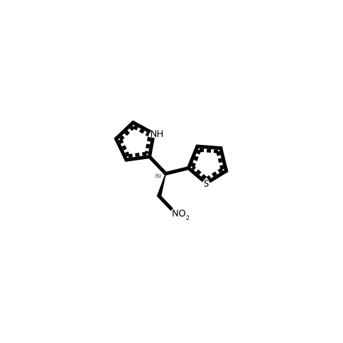 O=[N+]([O-])C[C@@H](c1ccc[nH]1)c1cccs1